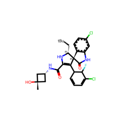 CC(C)(C)C[C@H]1NC(C(=O)N[C@H]2C[C@@](C)(O)C2)=C(C2C=CC=C(Cl)C2F)[C@@]12C(=O)Nc1cc(Cl)ccc12